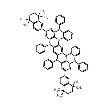 CC1(C)CCC(C)(C)c2cc(-c3cc4c5c(n3)N(c3ccccc3)c3ccccc3B5c3cc5c(cc3N4c3ccccc3)N(c3ccccc3)c3cc(-c4ccc6c(c4)C(C)(C)CCC6(C)C)nc4c3B5c3ccccc3N4c3ccccc3)ccc21